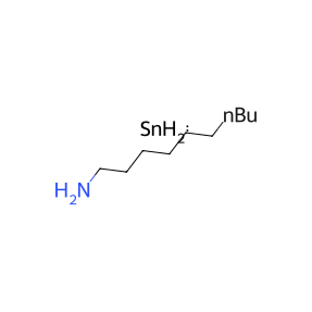 CCCCCCCCCCN.[SnH2]